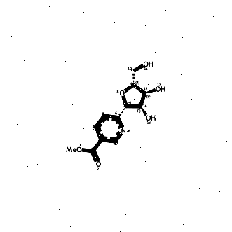 COC(=O)c1ccc([C@@H]2O[C@H](CO)[C@@H](O)[C@H]2O)nc1